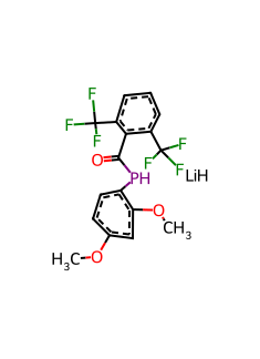 COc1ccc(PC(=O)c2c(C(F)(F)F)cccc2C(F)(F)F)c(OC)c1.[LiH]